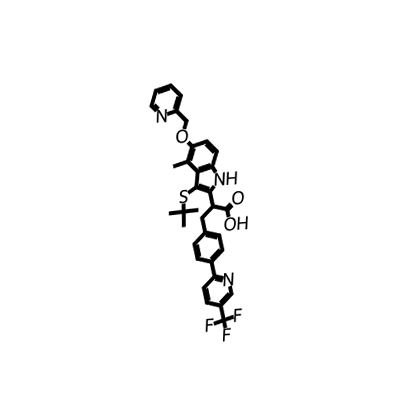 Cc1c(OCc2ccccn2)ccc2[nH]c(C(Cc3ccc(-c4ccc(C(F)(F)F)cn4)cc3)C(=O)O)c(SC(C)(C)C)c12